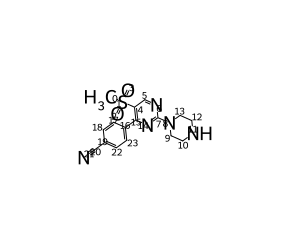 CS(=O)(=O)c1cnc(N2CCNCC2)nc1-c1ccc(C#N)cc1